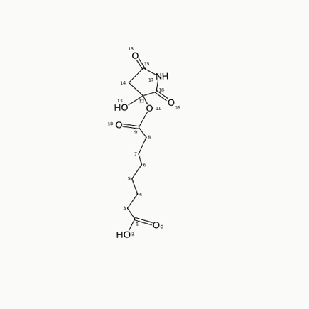 O=C(O)CCCCCCC(=O)OC1(O)CC(=O)NC1=O